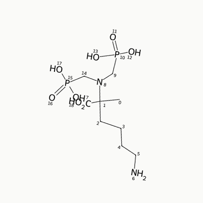 CC(CCCCN)(C(=O)O)N(CP(=O)(O)O)CP(=O)(O)O